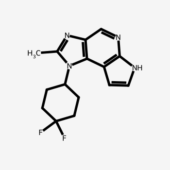 Cc1nc2cnc3[nH]ccc3c2n1C1CCC(F)(F)CC1